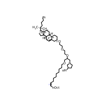 CCCCCCCC/C=C\CCCCCCCCOCC(CN1CCC(CCC)C1)OCCOCCO[C@H]1CC[C@@]2(C)C(=CC[C@H]3[C@@H]4CC[C@H]([C@H](C)CCCC(C)C)[C@@]4(C)CC[C@@H]32)C1